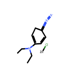 CCN(CC)C1=CCC(=[N+]=[N-])C=C1.[Cl][Zn]